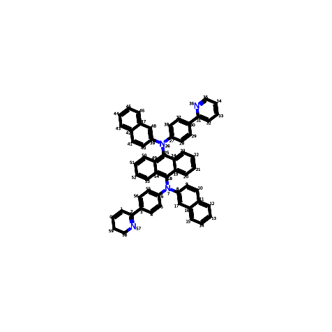 C1=CC(c2ccc(N(c3ccc4ccccc4c3)c3c4ccccc4c(N(c4ccc(-c5ccccn5)cc4)c4ccc5ccccc5c4)c4ccccc34)cc2)=NCC1